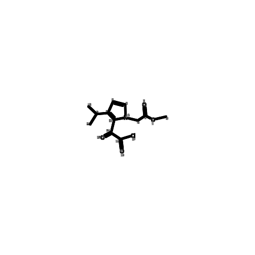 COC(=O)Cn1ccc(C(C)C)c1C(=O)C(=O)Cl